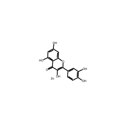 O=c1c(O)c(-c2ccc(O)c(O)c2)oc2cc(O)cc(O)c12.[Zn]